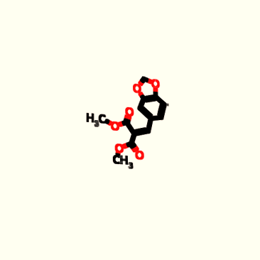 COC(=O)C(=Cc1c[c]c2c(c1)OCO2)C(=O)OC